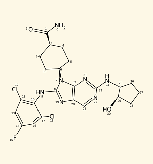 NC(=O)[C@H]1CC[C@@H](n2c(Nc3c(Cl)cc(F)cc3Cl)nc3cnc(NC4CCC[C@H]4O)nc32)CC1